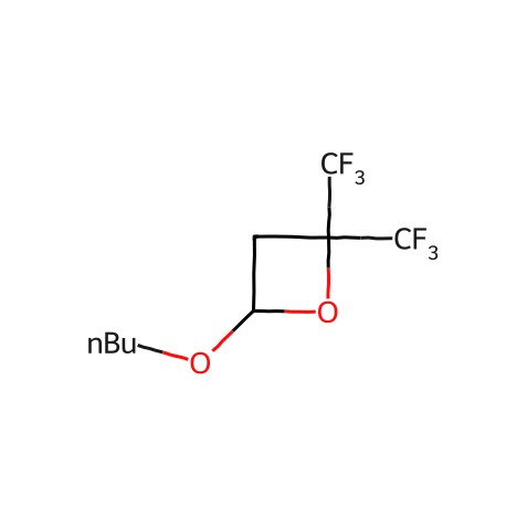 CCCCOC1CC(C(F)(F)F)(C(F)(F)F)O1